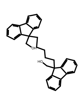 OCC1(CCCCCC2(CO)c3ccccc3-c3ccccc32)c2ccccc2-c2ccccc21